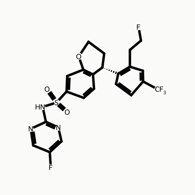 O=S(=O)(Nc1ncc(F)cn1)c1ccc2c(c1)OCC[C@@H]2c1ccc(C(F)(F)F)cc1CCF